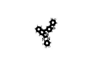 c1ccc2c(c1)cc1c3nc4ccccc4nc3n3c4cc5sc6ccccc6c5cc4c2c13